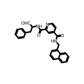 O=CC(Cc1ccccc1)NC(=O)c1cc(C(=O)NCc2cccc3ccccc23)ccn1